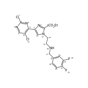 CCOC(=O)c1nc(-c2nc(Cl)ncc2Cl)cn1CCNCc1ccc(F)c(F)c1